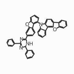 c1ccc(C2=NC(c3ccccc3)NC(c3ccc4c(c3)oc3cccc(-n5c6ccccc6c6c7oc8ccccc8c7ccc65)c34)=N2)cc1